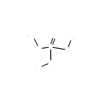 C[N]P(=S)(OC)OC